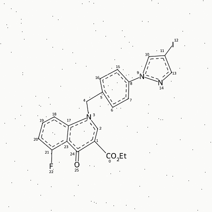 CCOC(=O)c1cn(Cc2ccc(-n3cc(I)cn3)cc2)c2cccc(F)c2c1=O